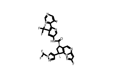 C[C@]1(c2cnn(C(F)F)c2)C[C@@H](C(=O)Nc2cnc(-c3ncncc3F)c(C(F)(F)F)c2)c2cnc3cc(F)nn3c21